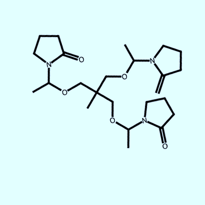 C=C1CCCN1C(C)OCC(C)(COC(C)N1CCCC1=O)COC(C)N1CCCC1=O